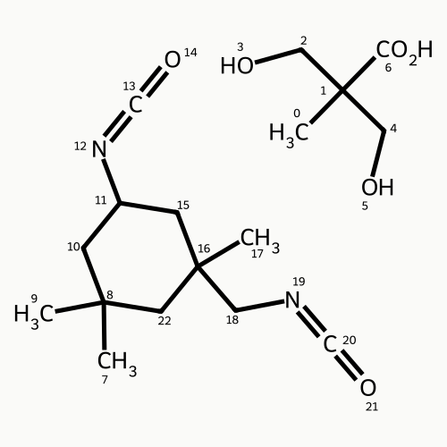 CC(CO)(CO)C(=O)O.CC1(C)CC(N=C=O)CC(C)(CN=C=O)C1